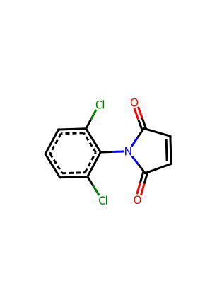 O=C1C=CC(=O)N1c1c(Cl)cccc1Cl